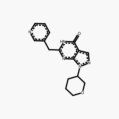 O=c1[nH]c(Cc2cccnc2)nc2c1cnn2C1CCCOC1